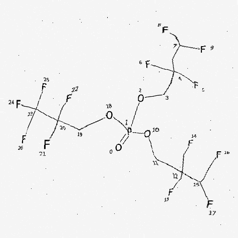 O=P(OCC(F)(F)C(F)F)(OCC(F)(F)C(F)F)OCC(F)(F)C(F)(F)F